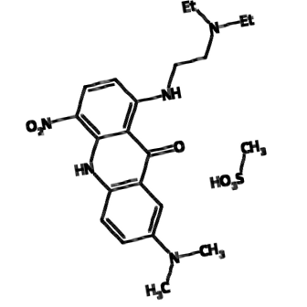 CCN(CC)CCNc1ccc([N+](=O)[O-])c2[nH]c3ccc(N(C)C)cc3c(=O)c12.CS(=O)(=O)O